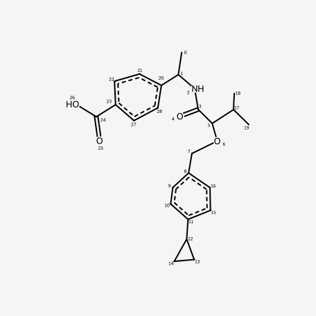 CC(NC(=O)C(OCc1ccc(C2CC2)cc1)C(C)C)c1ccc(C(=O)O)cc1